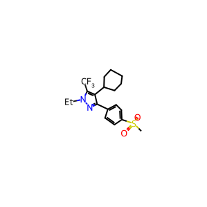 CCn1nc(-c2ccc(S(C)(=O)=O)cc2)c(C2CCCCC2)c1C(F)(F)F